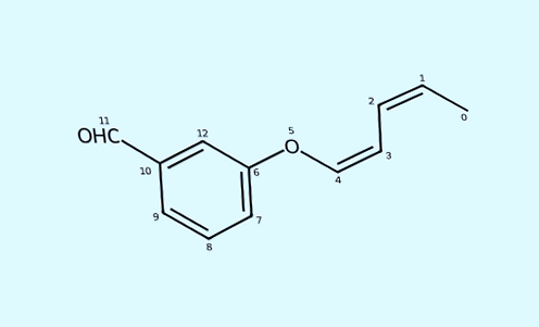 C/C=C\C=C/Oc1cccc(C=O)c1